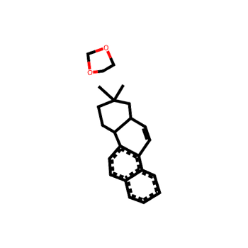 C1COCO1.CC1(C)CCC2c3ccc4ccccc4c3C=CC2C1